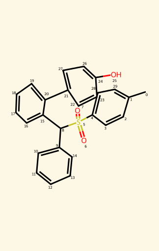 Cc1ccc(S(=O)(=O)C(c2ccccc2)c2ccccc2-c2ccc(O)cc2)cc1